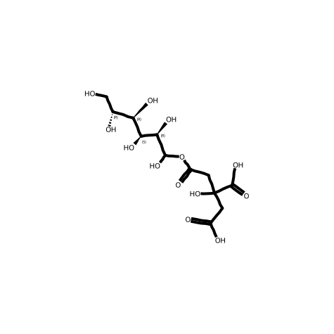 O=C(O)CC(O)(CC(=O)OC(O)[C@H](O)[C@@H](O)[C@H](O)[C@H](O)CO)C(=O)O